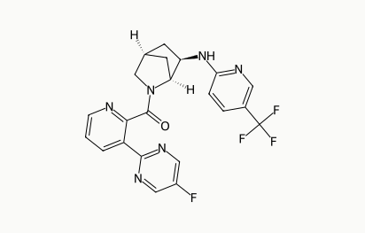 O=C(c1ncccc1-c1ncc(F)cn1)N1C[C@H]2C[C@@H](Nc3ccc(C(F)(F)F)cn3)[C@@H]1C2